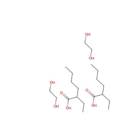 CCCCC(CC)C(=O)O.CCCCC(CC)C(=O)O.OCCO.OCCO